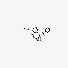 CC(=O)O[C@@]12CO[C@@H]1C[C@H](OC(=O)OC(C)(C)C(Cl)(Cl)Cl)[C@@]1(C)C(=O)[C@H](O)C3=C(C)C(O)C[C@@](O)([C@@H](OC(=O)c4ccccc4)[C@H]21)C3(C)C